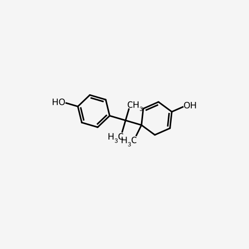 CC1(C(C)(C)c2ccc(O)cc2)C=CC(O)=CC1